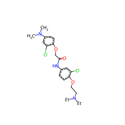 CCN(CC)CCOc1ccc(NC(=O)COc2ccc(N(C)C)cc2Cl)cc1Cl